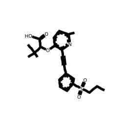 CCCS(=O)(=O)c1cccc(C#Cc2nc(C)ccc2OC(C(=O)O)C(C)(C)C)c1